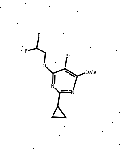 COc1nc(C2CC2)nc(OCC(F)F)c1Br